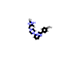 CCc1nc(CN2CCN(c3cccc4nc(-c5ccc(C(C)(C)C)cc5)cn34)CC2)c(C)[nH]1